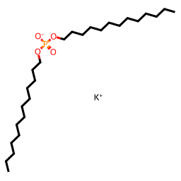 CCCCCCCCCCCCCOP(=O)([O-])OCCCCCCCCCCCCC.[K+]